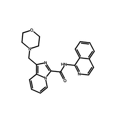 O=C(Nc1nccc2ccccc12)c1nc(CN2CCOCC2)c2ccccn12